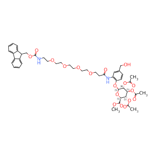 COC(=O)[C@H]1O[C@@H](Oc2ccc(CO)cc2NC(=O)CCOCCOCCOCCOCCNC(=O)OCC2c3ccccc3-c3ccccc32)[C@H](OC(C)=O)[C@@H](OC(C)=O)[C@@H]1OC(C)=O